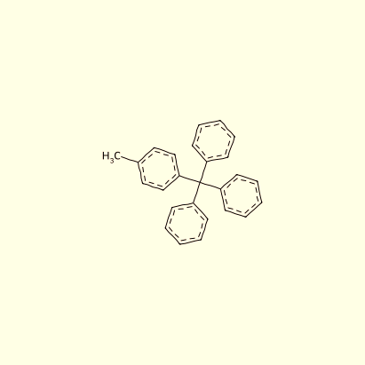 Cc1ccc(C(c2ccccc2)(c2ccccc2)c2ccccc2)cc1